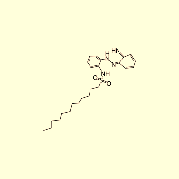 CCCCCCCCCCCCS(=O)(=O)Nc1ccccc1N/N=C1/C=CC=CC1=N